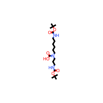 CC(C)(C)OC(=O)NCCCCCCN(CCCNC(=O)OC(C)(C)C)C(=O)O